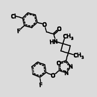 CC1(NC(=O)COc2ccc(Cl)c(F)c2)CC(C)(c2nnc(Oc3ccccc3F)o2)C1